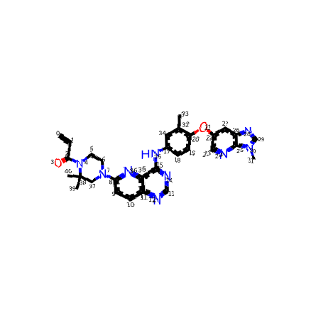 C=CC(=O)N1CCN(c2ccc3ncnc(Nc4ccc(Oc5cnc6c(c5)ncn6C)c(C)c4)c3n2)CC1(C)C